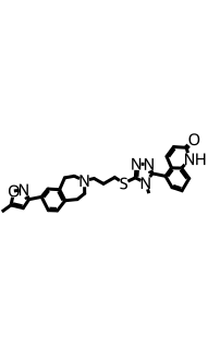 Cc1cc(-c2ccc3c(c2)CCN(CCCSc2nnc(-c4cccc5[nH]c(=O)ccc45)n2C)CC3)no1